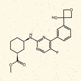 COC(=O)[C@H]1CCC[C@@H](Nc2ncc(F)c(-c3cccc(C4(O)COC4)c3)n2)C1